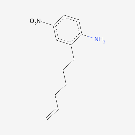 C=CCCCCc1cc([N+](=O)[O-])ccc1N